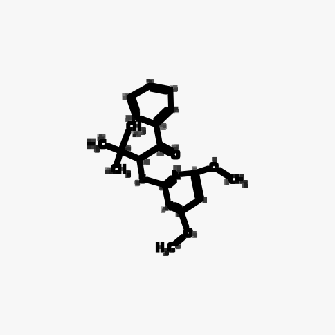 COc1cc(OC)nc(SC(C(=O)c2ccccn2)C(C)(C)C)n1